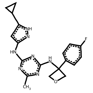 Cc1nc(Nc2cc(C3CC3)[nH]n2)nc(NC2(c3ccc(F)cc3)COC2)n1